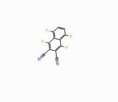 N#Cc1c(C#N)c(F)c2c(F)ccc(F)c2c1F